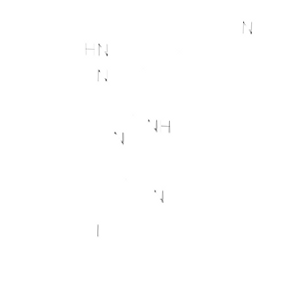 Fc1ccccc1-c1cncc2[nH]c(-c3n[nH]c4ccc(-c5cccnc5)cc34)nc12